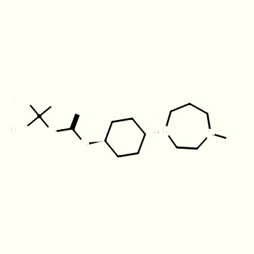 CN1CCCN([C@H]2CC[C@H](NC(=O)OC(C)(C)C)CC2)CC1